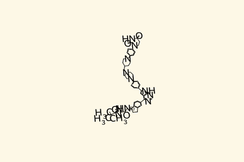 CC(C)(C)c1nc(C(=O)N[C@@H]2CCc3cc(-c4ncnc5[nH]c(-c6ccc(N7CCN(CC8CCN(c9ccc(N%10CCC(=O)NC%10=O)cc9)CC8)CC7)cc6)cc45)ccc32)no1